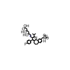 CC(C)c1nc2c(c(-c3ccc(F)cc3)c1/C=C/[C@@H](O)C[C@@H](O)CC(=O)O)CCCc1ccc(CNS(C)(=O)=O)cc1-2